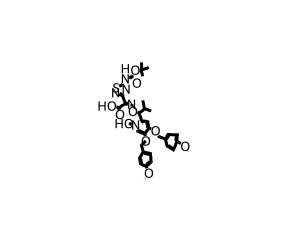 COc1ccc(COc2cc(C(O/N=C(\C(=O)O)c3nsc(NC(=O)OC(C)(C)C)n3)C(C)C)[n+](O)cc2OCc2ccc(OC)cc2)cc1